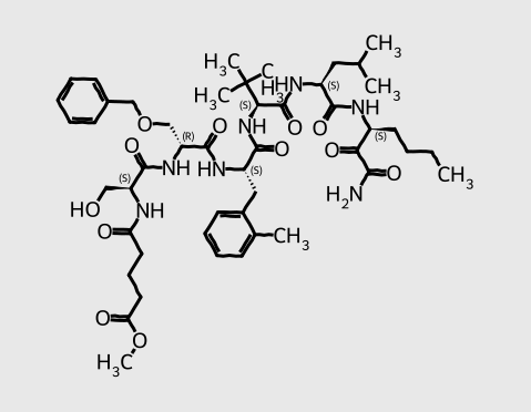 CCCC[C@H](NC(=O)[C@H](CC(C)C)NC(=O)[C@@H](NC(=O)[C@H](Cc1ccccc1C)NC(=O)[C@@H](COCc1ccccc1)NC(=O)[C@H](CO)NC(=O)CCCC(=O)OC)C(C)(C)C)C(=O)C(N)=O